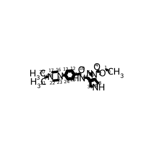 CCOC(=O)n1nc(NC(=O)c2ccc(N3CCN(C(C)C)CC3)cc2)c2c1CNC2